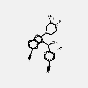 CC(c1ccc(C#N)cn1)n1c(N2CC[C@@H](F)[C@H](N)C2)nc2ccc(C#N)cc21.Cl